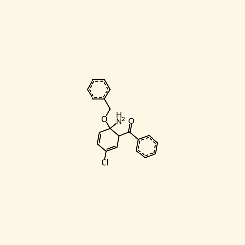 NC1(OCc2ccccc2)C=CC(Cl)=CC1C(=O)c1ccccc1